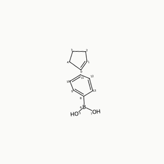 C1=CCCC1.OB(O)c1ccccc1